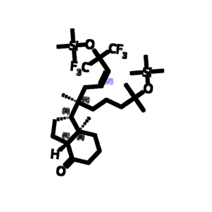 CC(C)(CCC[C@](C)(C/C=C\C(O[Si](C)(C)C)(C(F)(F)F)C(F)(F)F)[C@H]1CC[C@H]2C(=O)CCC[C@]12C)O[Si](C)(C)C